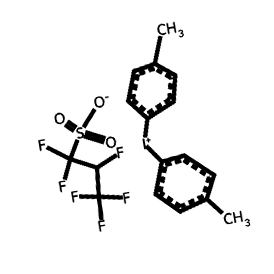 Cc1ccc([I+]c2ccc(C)cc2)cc1.O=S(=O)([O-])C(F)(F)C(F)C(F)(F)F